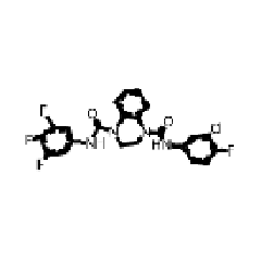 O=C(Nc1cc(F)c(F)c(F)c1)N1CCN(C(=O)Nc2ccc(F)c(Cl)c2)c2ccccc21